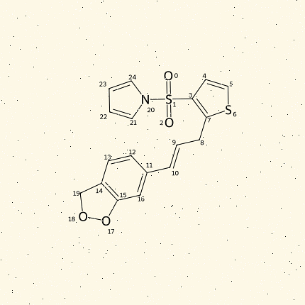 O=S(=O)(c1ccsc1C/C=C/c1ccc2c(c1)OOC2)n1cccc1